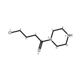 O=C(CCCCl)N1CCNCC1